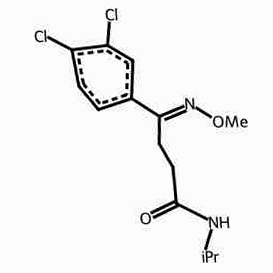 CON=C(CCC(=O)NC(C)C)c1ccc(Cl)c(Cl)c1